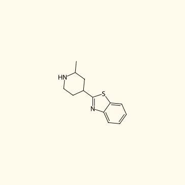 CC1CC(c2nc3ccccc3s2)CCN1